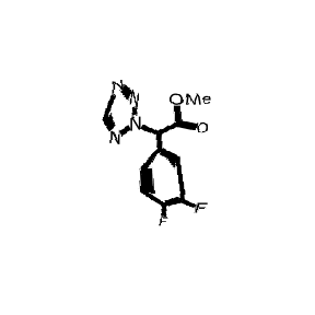 COC(=O)C(c1ccc(F)c(F)c1)n1ncnn1